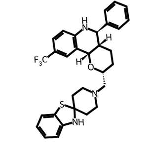 FC(F)(F)c1ccc2c(c1)[C@H]1O[C@@H](CN3CCC4(CC3)Nc3ccccc3S4)CC[C@H]1[C@H](c1ccccc1)N2